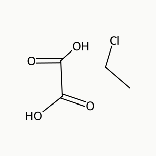 CCCl.O=C(O)C(=O)O